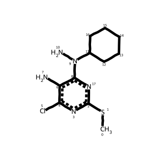 CSc1nc(Cl)c(N)c(N(N)C2CCCCC2)n1